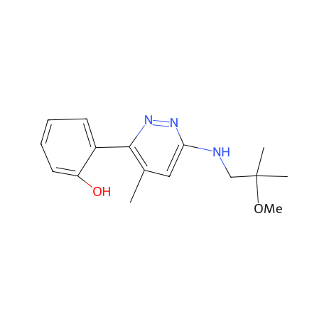 COC(C)(C)CNc1cc(C)c(-c2ccccc2O)nn1